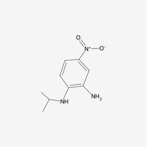 CC(C)Nc1ccc([N+](=O)[O-])cc1N